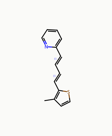 Cc1ccsc1/C=C/C=C/c1ccccn1